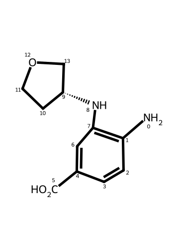 Nc1ccc(C(=O)O)cc1N[C@@H]1CCOC1